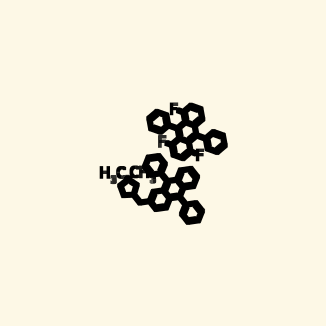 CC1(C)CCC(Cc2ccc3c(-c4ccccc4)c4ccccc4c(-c4ccccc4)c3c2)C1.Fc1cccc2c(-c3ccccc3)c3c(F)ccc(F)c3c(-c3ccccc3)c12